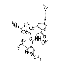 CC(C)O.Cl.Cn1cc(C(=O)NCC(=NO)c2ncc(C#CC3CC3)cc2Cl)c(C(F)F)n1